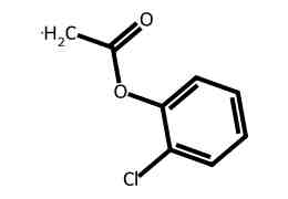 [CH2]C(=O)Oc1ccccc1Cl